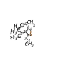 CCCc1scc(C(C)C)c1C(C)C